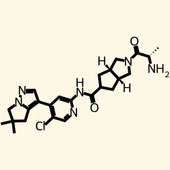 C[C@H](N)C(=O)N1C[C@H]2CC(C(=O)Nc3cc(-c4cnn5c4CC(C)(C)C5)c(Cl)cn3)C[C@H]2C1